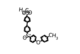 Cc1ccc(Oc2ccc([S@+]([O-])c3ccc(-c4ccc(S(C)(=O)=O)cc4)cc3)cc2)cc1